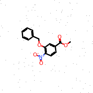 COC(=O)c1ccc([N+](=O)[O-])c(OCc2ccccc2)c1